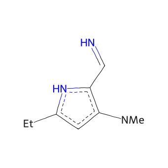 CCc1cc(NC)c(C=N)[nH]1